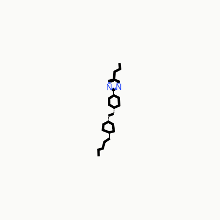 CCCCC[C@H]1CC[C@H](CC[C@H]2CC[C@H](c3ncc(CCC)cn3)CC2)CC1